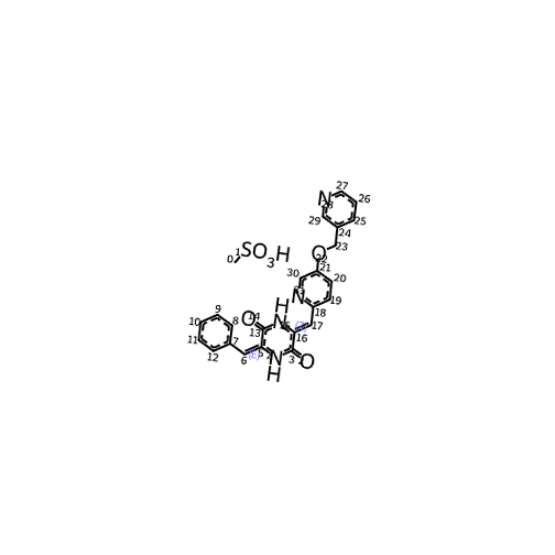 CS(=O)(=O)O.O=c1[nH]/c(=C/c2ccccc2)c(=O)[nH]/c1=C\c1ccc(OCc2cccnc2)cn1